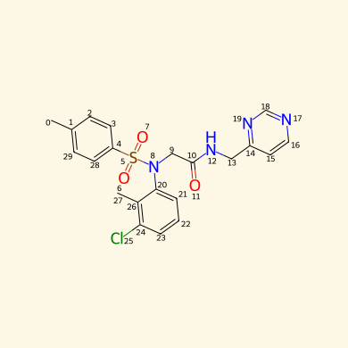 Cc1ccc(S(=O)(=O)N(CC(=O)NCc2ccncn2)c2cccc(Cl)c2C)cc1